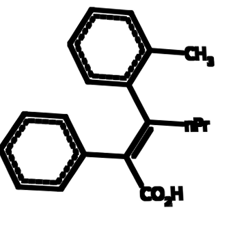 CCCC(=C(C(=O)O)c1ccccc1)c1ccccc1C